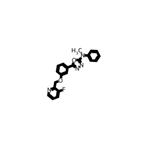 CN(c1ccccc1)c1nnc(-c2cccc(OCc3ncccc3F)c2)o1